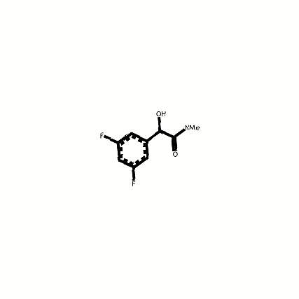 CNC(=O)C(O)c1cc(F)cc(F)c1